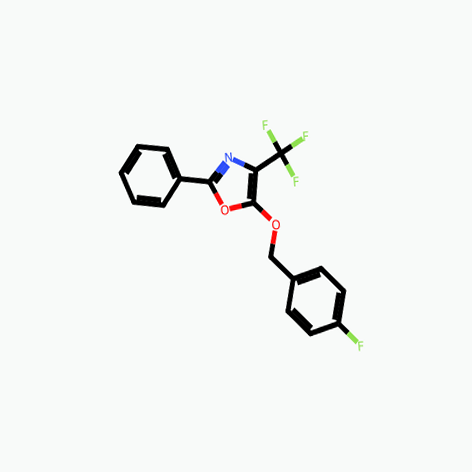 Fc1ccc(COc2oc(-c3ccccc3)nc2C(F)(F)F)cc1